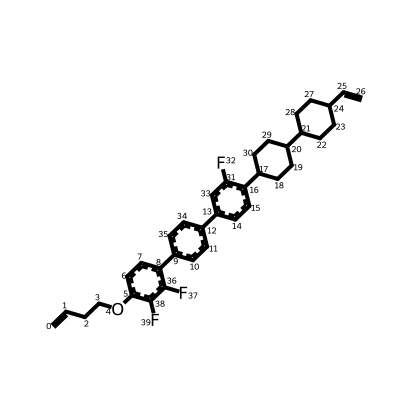 C=CCCOc1ccc(-c2ccc(-c3ccc(C4CCC(C5CCC(C=C)CC5)CC4)c(F)c3)cc2)c(F)c1F